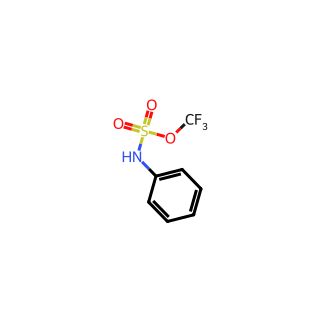 O=S(=O)(Nc1ccccc1)OC(F)(F)F